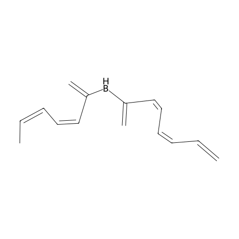 C=C/C=C\C=C/C(=C)BC(=C)/C=C\C=C/C